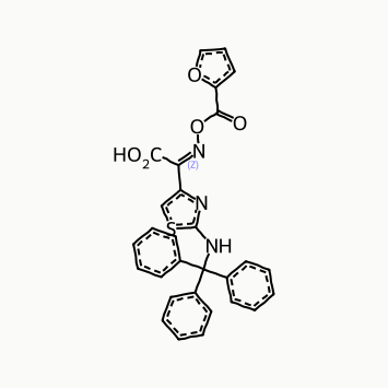 O=C(O)/C(=N\OC(=O)c1ccco1)c1csc(NC(c2ccccc2)(c2ccccc2)c2ccccc2)n1